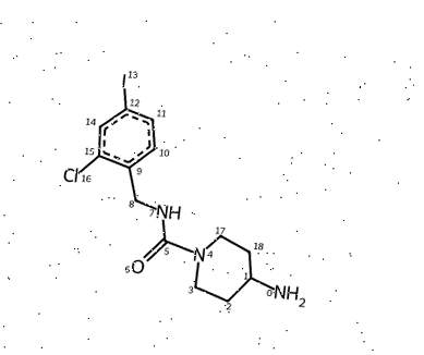 NC1CCN(C(=O)NCc2ccc(I)cc2Cl)CC1